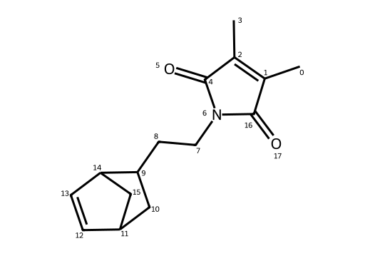 CC1=C(C)C(=O)N(CCC2CC3C=CC2C3)C1=O